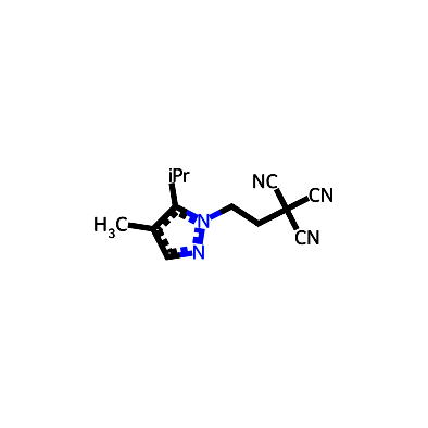 Cc1cnn(CCC(C#N)(C#N)C#N)c1C(C)C